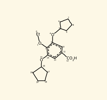 CCOc1c(OC2CCCC2)cc(C(=O)O)cc1OC1CCCC1